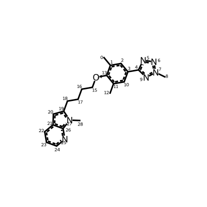 Cc1cc(-c2nnn(C)n2)cc(C)c1OCCCCc1cc2cccnc2n1C